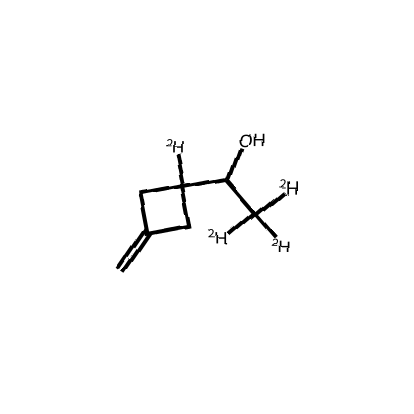 [2H]C([2H])([2H])C(O)C1([2H])CC(=C)C1